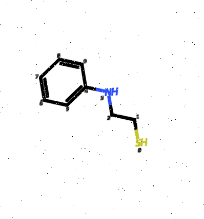 SCCNc1c[c]ccc1